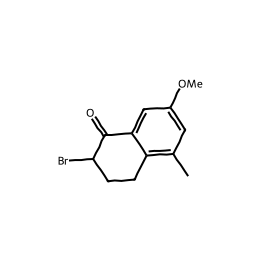 COc1cc(C)c2c(c1)C(=O)C(Br)CC2